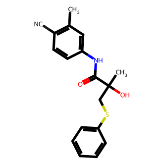 Cc1cc(NC(=O)C(C)(O)CSc2ccccc2)ccc1C#N